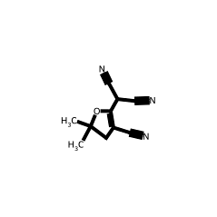 CC1(C)CC(C#N)=C(C(C#N)C#N)O1